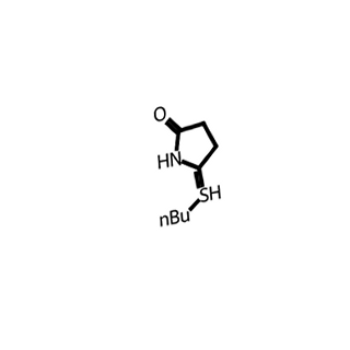 CCCC[SH]=C1CCC(=O)N1